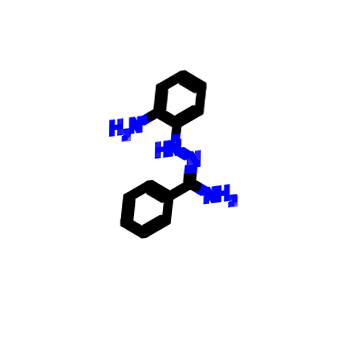 N/C(=N/Nc1ccccc1N)c1ccccc1